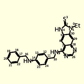 CCn1c(=S)[nH]c2cc3c(NCc4ccc(NCc5ccccc5)cc4)ncnc3cc21